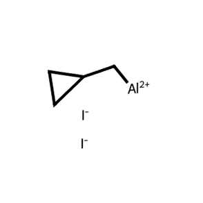 [Al+2][CH2]C1CC1.[I-].[I-]